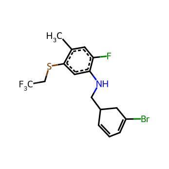 Cc1cc(F)c(NCC2C=CC=C(Br)C2)cc1SCC(F)(F)F